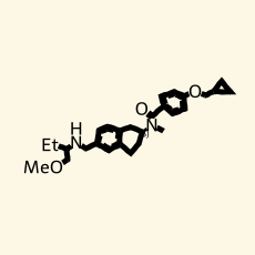 CCC(COC)NCc1ccc2c(c1)CC[C@H](N(C)C(=O)c1ccc(OCC3CC3)cc1)C2